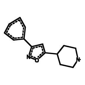 c1ccc(-c2cc(C3CC[N]CC3)on2)cc1